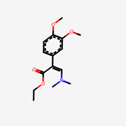 CCOC(=O)/C(=C\N(C)C)c1ccc(OC)c(OC)c1